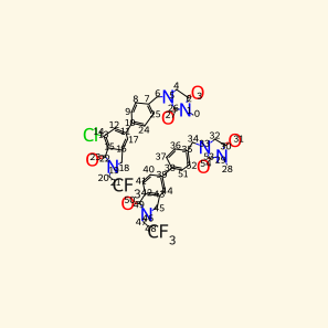 CN1C(=O)CN(Cc2ccc(-c3cc(Cl)c4c(c3)CN(CC(F)(F)F)C4=O)cc2)C1=O.CN1C(=O)CN(Cc2ccc(-c3ccc4c(c3)CN(CC(F)(F)F)C4=O)cc2)C1=O